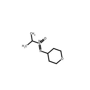 CC(C)[SH](=O)=NC1CCOCC1